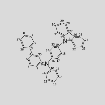 c1ccc(-c2cccc(N(c3ccccc3)c3ccc(-n4c5ccccc5c5ccccc54)cc3)c2)cc1